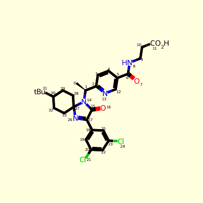 C[C@@H](c1ccc(C(=O)NCCC(=O)O)cn1)N1C(=O)C(c2cc(Cl)cc(Cl)c2)=NC12CCC(C(C)(C)C)CC2